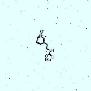 CC(C)(C)OC(=O)NCCc1ccc[n+]([O-])c1